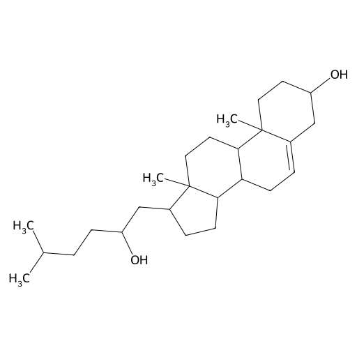 CC(C)CCC(O)CC1CCC2C3CC=C4CC(O)CCC4(C)C3CCC12C